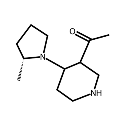 CC(=O)C1CNCCC1N1CCC[C@H]1C